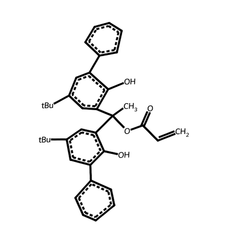 C=CC(=O)OC(C)(c1cc(C(C)(C)C)cc(-c2ccccc2)c1O)c1cc(C(C)(C)C)cc(-c2ccccc2)c1O